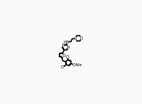 COc1cc(Cl)c(Cc2ccc(-c3cnc(NCCN4CCOCC4)nc3)o2)c(Cl)c1